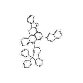 c1ccc(C2(c3ccccc3)c3ccccc3-c3ccc(N(c4cccc(-c5ccc6ccccc6c5)c4)c4ccccc4-c4ccc5oc6ccccc6c5c4)cc32)cc1